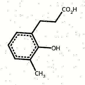 Cc1cccc(CCC(=O)O)c1O